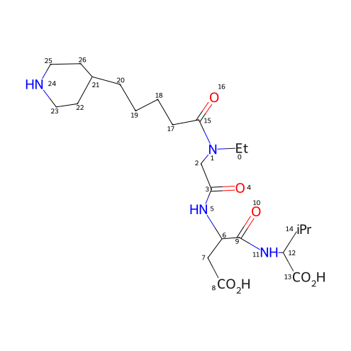 CCN(CC(=O)NC(CC(=O)O)C(=O)NC(C(=O)O)C(C)C)C(=O)CCCCC1CCNCC1